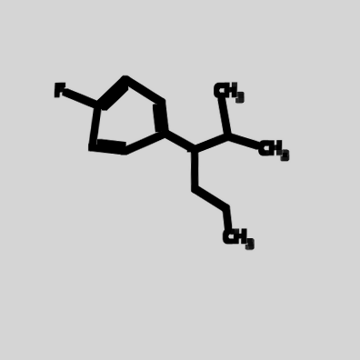 CCC[C](c1ccc(F)cc1)C(C)C